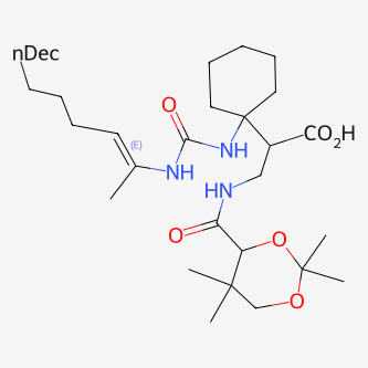 CCCCCCCCCCCCC/C=C(\C)NC(=O)NC1(C(CNC(=O)C2OC(C)(C)OCC2(C)C)C(=O)O)CCCCC1